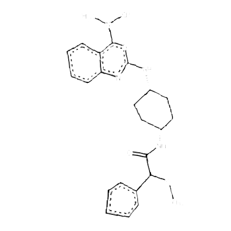 COC(C(=O)N[C@H]1CC[C@@H](Nc2nc(N(C)C)c3ccccc3n2)CC1)c1ccccc1